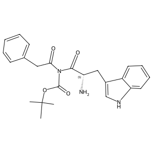 CC(C)(C)OC(=O)N(C(=O)Cc1ccccc1)C(=O)[C@@H](N)Cc1c[nH]c2ccccc12